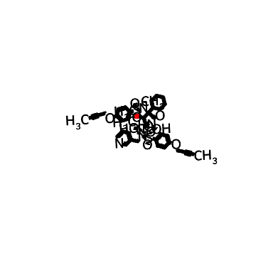 CC#CCOc1ccc(S(=O)(=O)N(Cc2cccnc2)N(O)C(=O)C(C(C)C)C(C(=O)NO)(C2CCCCC2)N(C)S(=O)(=O)c2ccc(OCC#CC)cc2)cc1